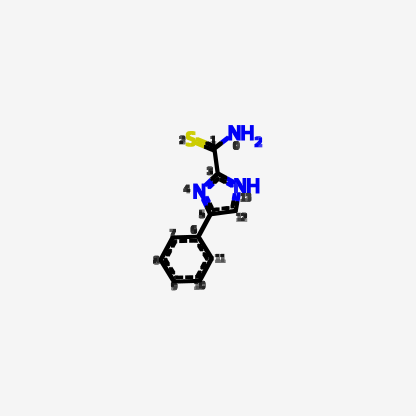 NC(=S)c1nc(-c2ccccc2)c[nH]1